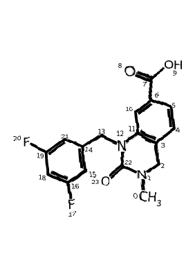 CN1Cc2ccc(C(=O)O)cc2N(Cc2cc(F)cc(F)c2)C1=O